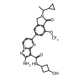 CC(C1CC1)N1Cc2cc(-c3ccn4nc(N)c(C(=O)NC5CC(O)C5)c4n3)cc(OC(F)(F)F)c2C1=O